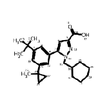 CC(C)(C)c1cc(-c2cc(C(=O)O)nn2CC2CCCCC2)cc(C2(C)CC2)c1